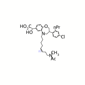 CCCc1cc(Cl)ccc1C1COc2ccc(C(O)C(=O)O)cc2N(CCCC/C=C\CCN(C)C(C)=O)C1